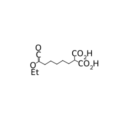 CCOC(=C=O)CCCCCC(C(=O)O)C(=O)O